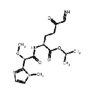 CO[C@@H](C(=O)N[C@@H](CCC(=O)C=N)C(=O)OC(C)C)c1nccn1C